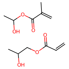 C=C(C)C(=O)OC(C)O.C=CC(=O)OCC(C)O